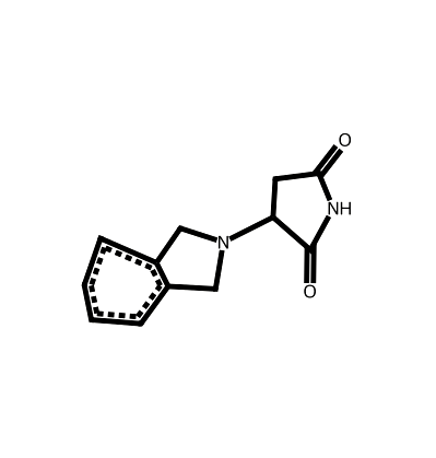 O=C1CC(N2Cc3ccccc3C2)C(=O)N1